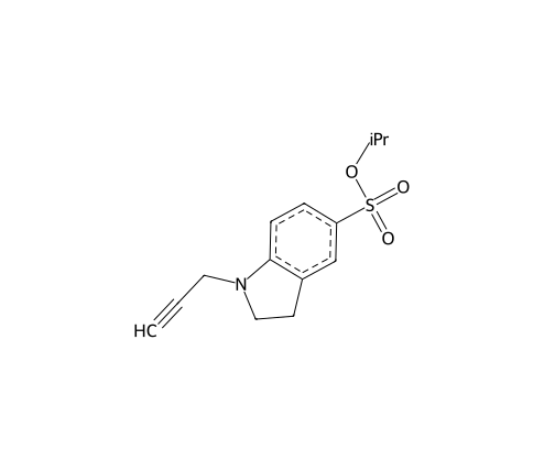 C#CCN1CCc2cc(S(=O)(=O)OC(C)C)ccc21